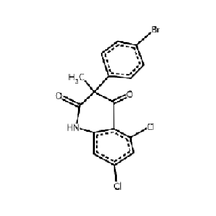 CC1(c2ccc(Br)cc2)C(=O)Nc2cc(Cl)cc(Cl)c2C1=O